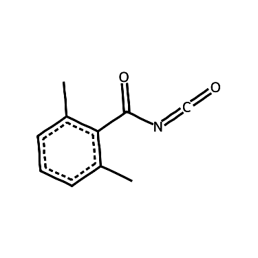 Cc1cccc(C)c1C(=O)N=C=O